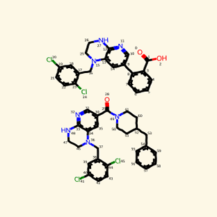 O=C(O)c1ccccc1-c1cnc2c(c1)N(Cc1cc(Cl)ccc1Cl)CCN2.O=C(c1cnc2c(c1)N(Cc1cc(Cl)ccc1Cl)CCN2)N1CCC(Cc2ccccc2)CC1